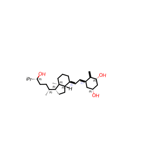 C=C1/C(=C/C=C2\CCC[C@]3(C)[C@@H]([C@H](C)CC[C@@H](O)C(C)C)CC[C@@H]23)C[C@@H](O)C[C@H]1O